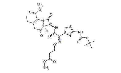 BOC(=O)CCO/N=C(\C(=O)N[C@@H]1C(=O)N2C(C(=O)OB)=C(CC)C[S+]([O-])[C@H]12)c1csc(NC(=O)OC(C)(C)C)n1